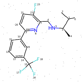 CC(C)[C@@H](C)NCc1nc(-c2cccc(C(F)(F)F)c2)ccc1F